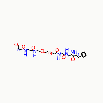 NC(CNC(=O)CNC(=O)CCOCCOCCNC(=O)CCNC(=O)/C=C\C=O)C(=O)CCc1ccccc1